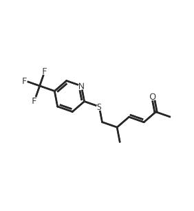 CC(=O)/C=C/C(C)CSc1ccc(C(F)(F)F)cn1